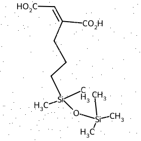 C[Si](C)(C)O[Si](C)(C)CCCC(=CC(=O)O)C(=O)O